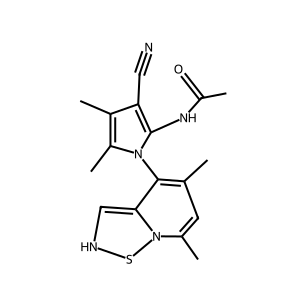 CC(=O)Nc1c(C#N)c(C)c(C)n1C1=C(C)C=C(C)N2SNC=C12